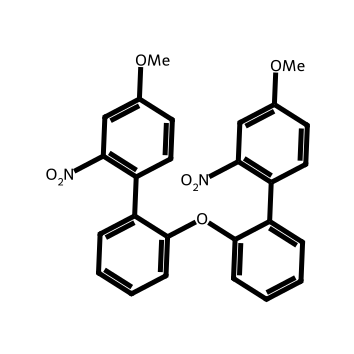 COc1ccc(-c2ccccc2Oc2ccccc2-c2ccc(OC)cc2[N+](=O)[O-])c([N+](=O)[O-])c1